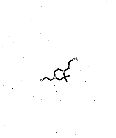 CC1(C)CN(CCO)CCN1CCN